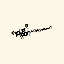 N=C1C(=O)c2ccc(C(=O)NCCOCCOCCCCCCCl)cc2C12c1ccc(N3CCC3)cc1Oc1cc(N3CCC3)ccc12